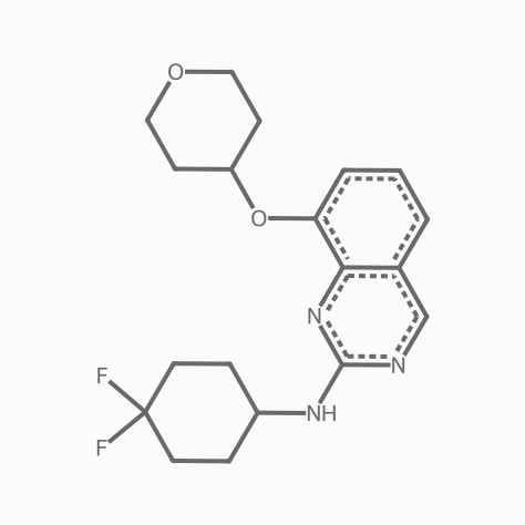 FC1(F)CCC(Nc2ncc3cccc(OC4CCOCC4)c3n2)CC1